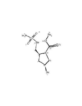 NS(=O)(=O)NC[C@@H]1C[C@H](S)CN1C(=O)OP